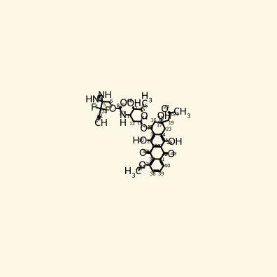 C#CC(F)(F)C1(COC(=O)NC2CC(O[C@H]3C[C@](O)(CC(C)=O)Cc4c(O)c5c(c(O)c43)C(=O)c3c(OC)cccc3C5=O)OC(C)C2O)NN1